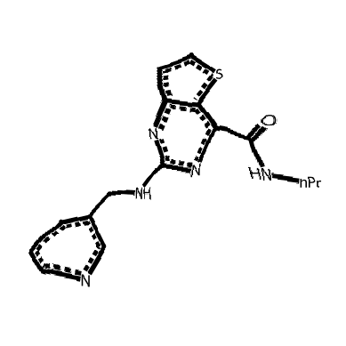 CCCNC(=O)c1nc(NCc2cccnc2)nc2ccsc12